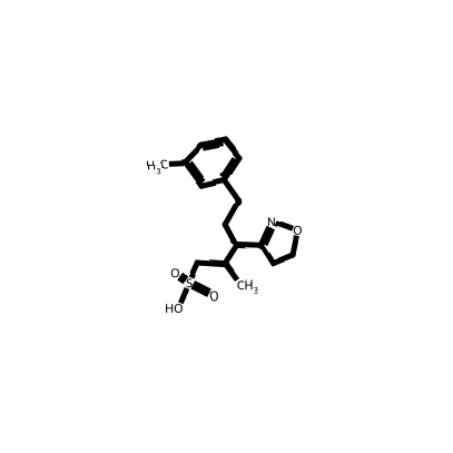 Cc1[c]ccc(CCC(C2=NOCC2)C(C)CS(=O)(=O)O)c1